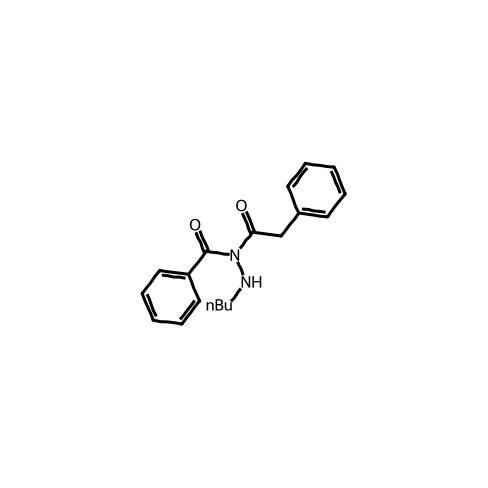 CCCCNN(C(=O)Cc1ccccc1)C(=O)c1ccccc1